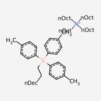 CCCCCCCCCCCC[B-](c1ccc(C)cc1)(c1ccc(C)cc1)c1ccc(C)cc1.CCCCCCCC[N+](CCCCCCCC)(CCCCCCCC)CCCCCCCC